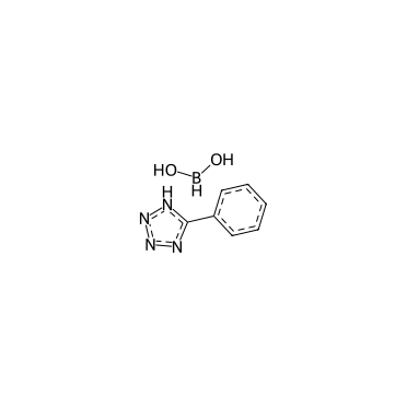 OBO.c1ccc(-c2nnn[nH]2)cc1